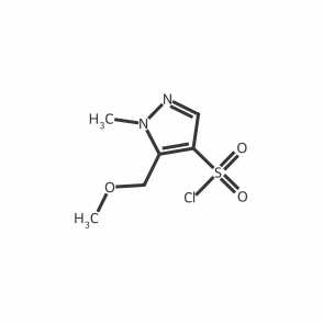 COCc1c(S(=O)(=O)Cl)cnn1C